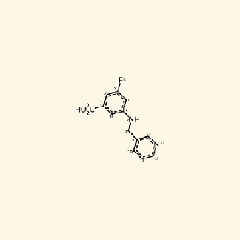 O=C(O)c1cc(F)cc(NCc2cccnc2)c1